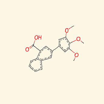 COc1cc(-c2cc(C(=O)O)c3ccccc3c2)cc(OC)c1OC